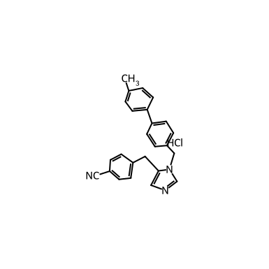 Cc1ccc(-c2ccc(Cn3cncc3Cc3ccc(C#N)cc3)cc2)cc1.Cl